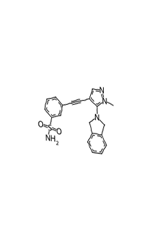 Cn1ncc(C#Cc2cccc(S(N)(=O)=O)c2)c1N1Cc2ccccc2C1